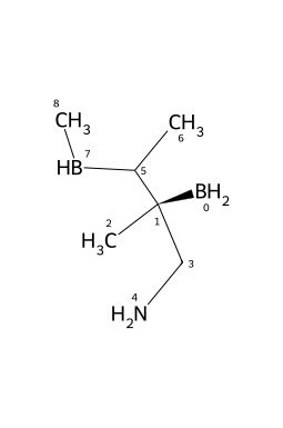 B[C@](C)(CN)C(C)BC